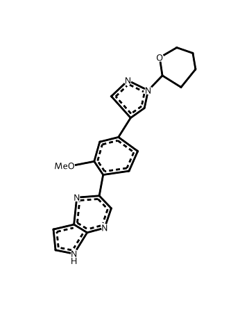 COc1cc(-c2cnn(C3CCCCO3)c2)ccc1-c1cnc2[nH]ccc2n1